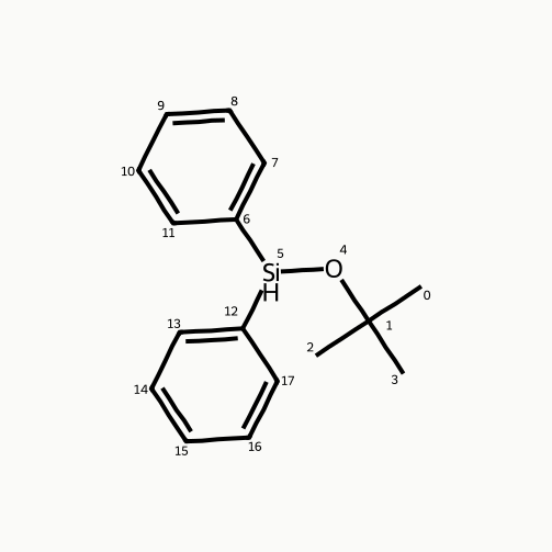 CC(C)(C)O[SiH](c1ccccc1)c1ccccc1